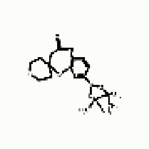 CC1(C)OB(c2ccc3c(c2)OC2(CCOCC2)CC(=O)N3)OC1(C)C